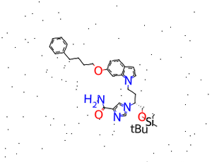 CC(C)(C)[Si](C)(C)OC[C@@H](CCn1ccc2ccc(OCCCCc3ccccc3)cc21)n1cnc(C(N)=O)c1